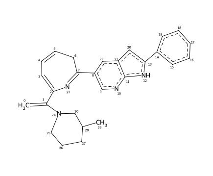 C=C(C1=CC=CCC(c2cnc3[nH]c(-c4ccccc4)cc3c2)=N1)N1CCCC(C)C1